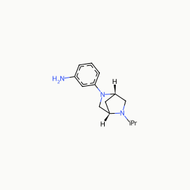 CC(C)N1C[C@@H]2C[C@H]1CN2c1cccc(N)c1